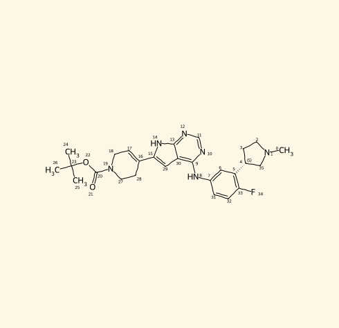 CN1CC[C@@H](c2cc(Nc3ncnc4[nH]c(C5=CCN(C(=O)OC(C)(C)C)CC5)cc34)ccc2F)C1